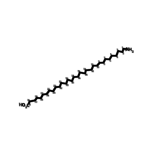 NCCCCCCCCCCCCCCCCCCCCCCCCCCCCCCCC(=O)O